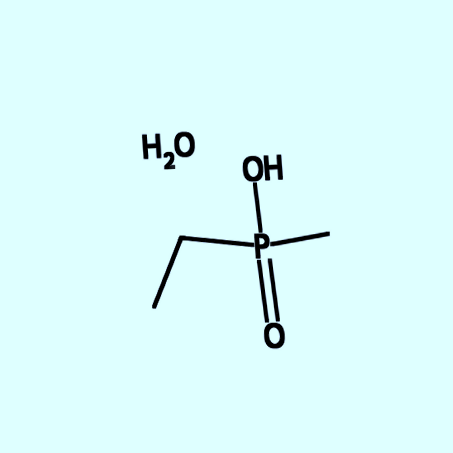 CCP(C)(=O)O.O